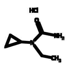 CCN(C(N)=O)C1CC1.Cl